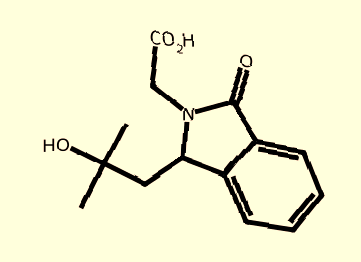 CC(C)(O)CC1c2ccccc2C(=O)N1CC(=O)O